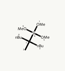 CCCCC(C)(CCCC)[Si](OC)(OC)OC